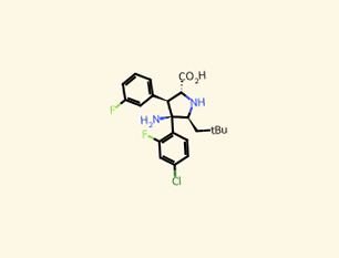 CC(C)(C)C[C@@H]1N[C@@H](C(=O)O)[C@H](c2cccc(F)c2)[C@@]1(N)c1ccc(Cl)cc1F